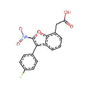 O=C(O)Cc1cccc2c(-c3ccc(F)cc3)c([N+](=O)[O-])oc12